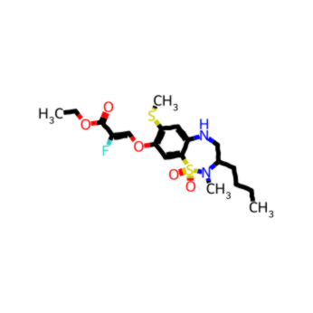 CCCCC1CNc2cc(SC)c(O/C=C(\F)C(=O)OCC)cc2S(=O)(=O)N1C